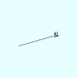 CCCCCCCCCCCCCCCCCCCCCC[CH][Si](CC)(CC)CC